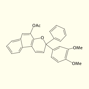 COc1ccc(C2(c3ccccc3)C=Cc3c(c(OC(C)=O)cc4ccccc34)O2)cc1OC